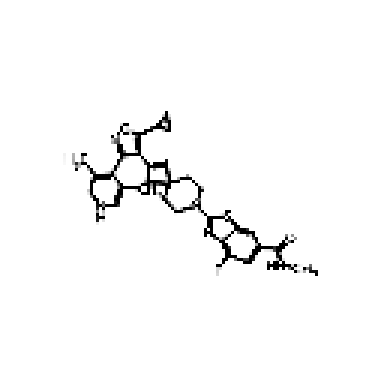 CNC(=O)c1cc(F)c2nc(N3CCC4(C=C(c5c(C6=C(C)CNC=C6C)noc5C5CC5)C4)CC3)sc2c1